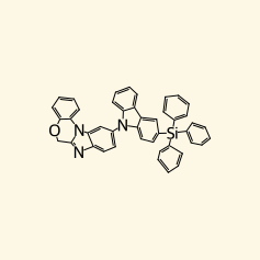 c1ccc([Si](c2ccccc2)(c2ccccc2)c2ccc3c(c2)c2ccccc2n3-c2ccc3nc4n(c3c2)-c2ccccc2OC4)cc1